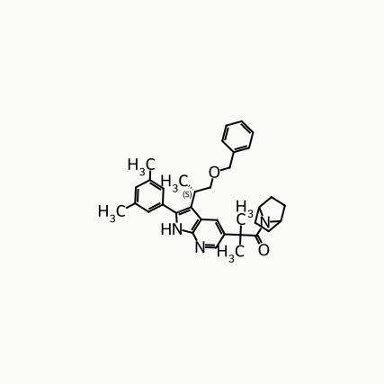 Cc1cc(C)cc(-c2[nH]c3ncc(C(C)(C)C(=O)N4C5CCC4CC5)cc3c2[C@H](C)COCc2ccccc2)c1